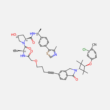 Cc1ncsc1-c1ccc([C@H](C)NC(=O)[C@@H]2C[C@@H](O)CN2C(=O)[C@@H](NC(=O)COCCCC#Cc2ccc3c(c2)CN([C@H]2C(C)(C)[C@H](Oc4ccc(C#N)c(Cl)c4)C2(C)C)C3=O)C(C)(C)C)cc1